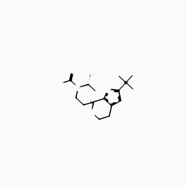 C[C@H]1C[C@@]2(CCN1C(=O)O)OCCc1cc(C(C)(C)C)sc12